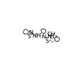 CN1/C(=N\c2ccccc2CCNc2nc3ccccc3s2)SC2Cc3ccccc3[C@@H]21